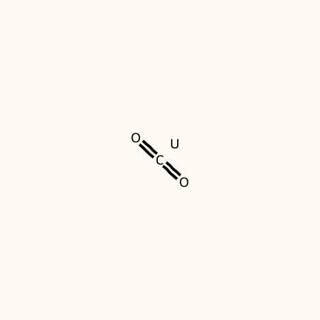 O=C=O.[U]